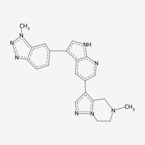 CN1CCn2ncc(-c3cnc4[nH]cc(-c5ccc6nnn(C)c6c5)c4c3)c2C1